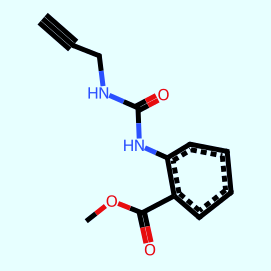 C#CCNC(=O)Nc1ccccc1C(=O)OC